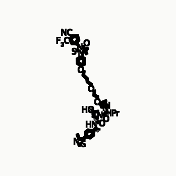 Cc1ncsc1-c1ccc([C@H](C)NC(=O)[C@@H]2C[C@@H](O)CN2C(=O)[C@H](C(C)C)n2cc(OCCCOCCCCCOc3ccc(N4C(=S)N(c5ccc(C#N)c(C(F)(F)F)c5)C(=O)C4(C)C)cc3)cn2)cc1